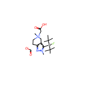 Cn1nc2c(c1[Si](F)(C(C)(C)C)C(C)(C)C)C[N+](C)(CC(=O)O)CC2.O=C[O-]